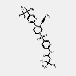 CC#C[C@H]1CN(S(=O)(=O)c2ccc(NC(=O)OC(C)(C)C)nc2)CCN1c1ncc(C(C)(O)C(F)(F)F)cn1